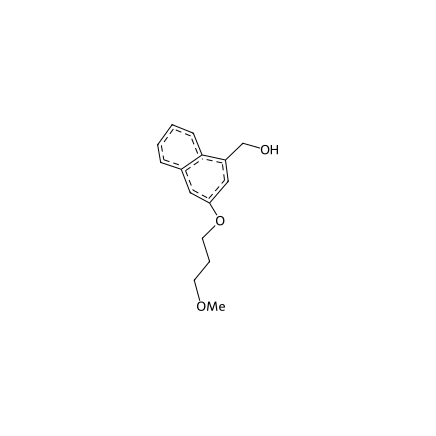 COCCCOc1cc(CO)c2ccccc2c1